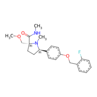 CNC(=O)[C@]1(COC)CC[C@H](c2ccc(OCc3ccccc3F)cc2)N1C